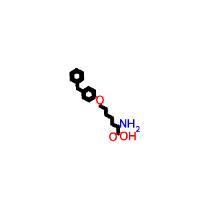 NC(CCCCCOc1ccc(Cc2ccccc2)cc1)C(=O)O